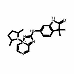 CC1CCC(C)N1[N+]12C=CN=CC1=NC(Nc1ccc3c(c1)NC(=O)C3(C)C)=N2